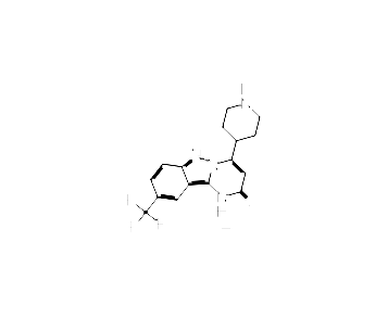 Cl.O=c1cc(C2CCNCC2)n2nc3ccc(C(F)(F)F)cc3c2[nH]1